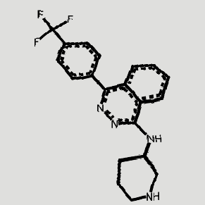 FC(F)(F)c1ccc(-c2nnc(NC3CCCNC3)c3ccccc23)cc1